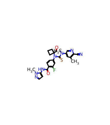 Cc1cc(N(C)C(=S)N(c2ccc(C(=O)Nc3ccnn3C)c(F)c2)C2(C=O)CCC2)cnc1C#N